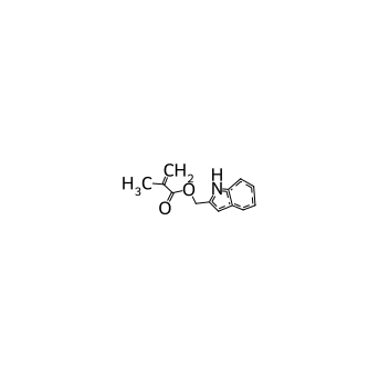 C=C(C)C(=O)OCc1cc2ccccc2[nH]1